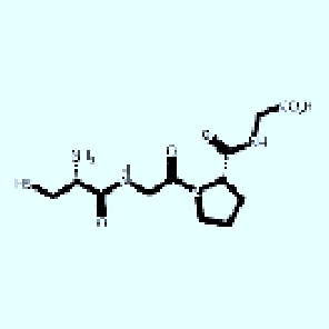 N[C@@H](CS)C(=O)NCC(=O)N1CCC[C@H]1C(=O)NCC(=O)O